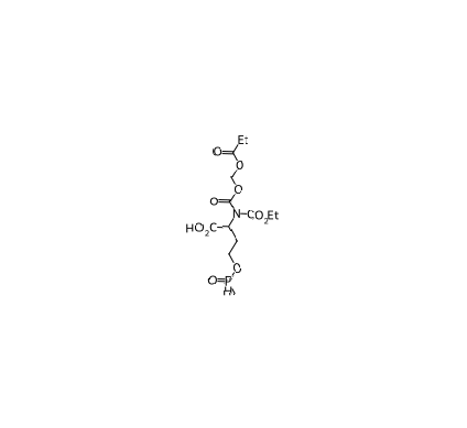 CCOC(=O)N(C(=O)OCOC(=O)CC)C(CCO[PH](C)=O)C(=O)O